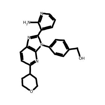 Nc1ncccc1-c1nc2ccc(C3CCOCC3)nc2n1-c1ccc(CO)cc1